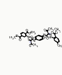 COC(=O)c1ccc(C(=O)OC)c(N/N=C(/C(C)=O)C(=O)Nc2ccc(NC(=O)/C(=N\Nc3cc(C)ccc3C(=O)OC)C(C)=O)cc2)c1